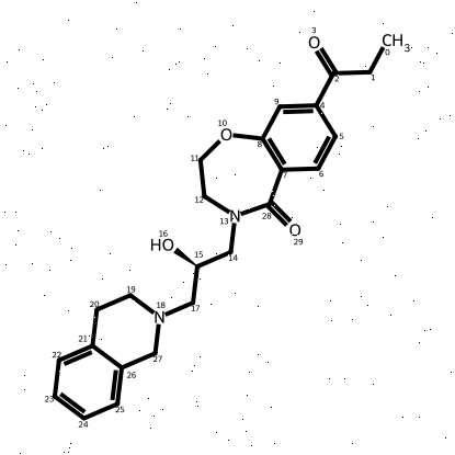 CCC(=O)c1ccc2c(c1)OCCN(C[C@H](O)CN1CCc3ccccc3C1)C2=O